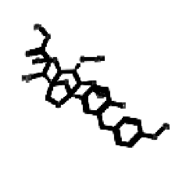 CCCCO[C@@H]1[C@@H](OCCCC)[C@@]2(c3ccc(Cl)c(Cc4ccc(OCC)cc4)c3)OC[C@](C(C)OC(=O)OC(C)C)(O2)[C@H]1OCCCC